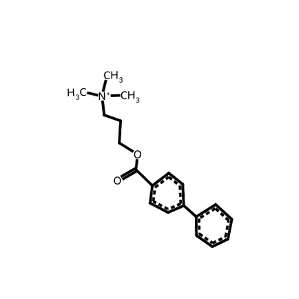 C[N+](C)(C)CCCOC(=O)c1ccc(-c2ccccc2)cc1